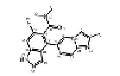 Cc1cn2cc(-c3c(C(=O)N(C)C)c(F)cc4[nH]ncc34)ccc2n1